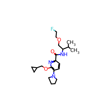 CC(C)C(COCCF)NC(=O)c1ccc(N2CCCC2)c(OCC2CC2)n1